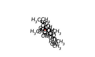 COC(=O)[C@]12C[C@@H](O)[C@H](O)C3[C@]4(CO1)[C@H]2[C@@H](OC(=O)C=C(C)C)C(=O)O[C@@H]4C[C@H]1C(C)=C(OC(=O)C[C@H](C)NS(C)(=O)=O)C(=O)C[C@]31C